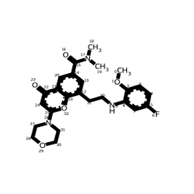 COc1ccc(F)cc1NCCc1cc(C(=O)N(C)C)cc2c(=O)cc(N3CCOCC3)oc12